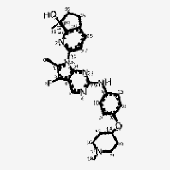 Cc1c(F)c2cnc(Nc3ccc(OC4CCN(C)CC4)cc3)nc2n1-c1ccc2c(n1)[C@](C)(O)CC2